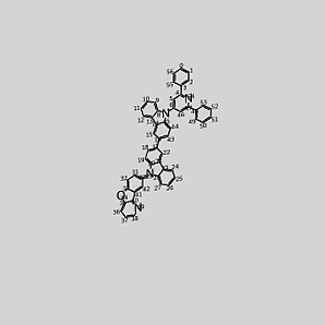 c1ccc(-c2cc(-n3c4ccccc4c4cc(-c5ccc6c(c5)c5ccccc5n6-c5ccc6oc7cccnc7c6c5)ccc43)cc(-c3ccccc3)n2)cc1